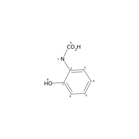 O=C(O)[N]c1ccccc1O